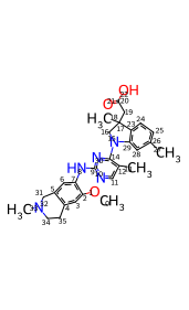 COc1cc2c(cc1Nc1ncc(C)c(N3CC(C)(CC(=O)O)c4ccc(C)cc43)n1)CN(C)CC2